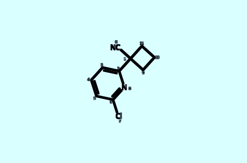 N#CC1(c2cccc(Cl)n2)CCC1